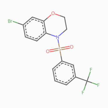 O=S(=O)(c1cccc(C(F)(F)F)c1)N1CCOc2cc(Br)ccc21